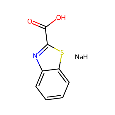 O=C(O)c1nc2ccccc2s1.[NaH]